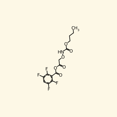 CCCCOC(=O)NOCC(=O)OC(=O)c1c(F)c(F)cc(F)c1F